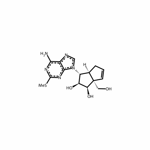 CSc1nc(N)c2ncn([C@H]3[C@H](O)[C@H](O)[C@]4(CO)C=CC[C@H]34)c2n1